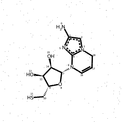 Nc1cn2c(n1)N([C@@H]1O[C@H](CS)[C@@H](O)[C@H]1O)C=CC2